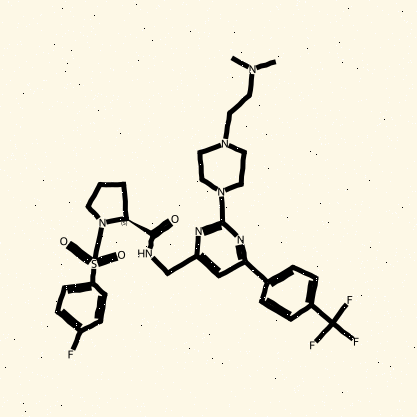 CN(C)CCN1CCN(c2nc(CNC(=O)[C@@H]3CCCN3S(=O)(=O)c3ccc(F)cc3)cc(-c3ccc(C(F)(F)F)cc3)n2)CC1